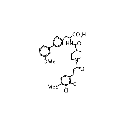 COc1cccc(-c2ccc(CC(NC(=O)C3CCN(C(=O)/C=C/c4ccc(SC)c(Cl)c4Cl)CC3)C(=O)O)cc2)c1